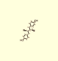 N#CC(=C\c1ccc(O)cc1)/C(C#N)=C/c1ccc(O)cc1